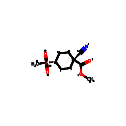 COC(=O)[C@]1(C#N)CC[C@H](S(C)(=O)=O)CC1